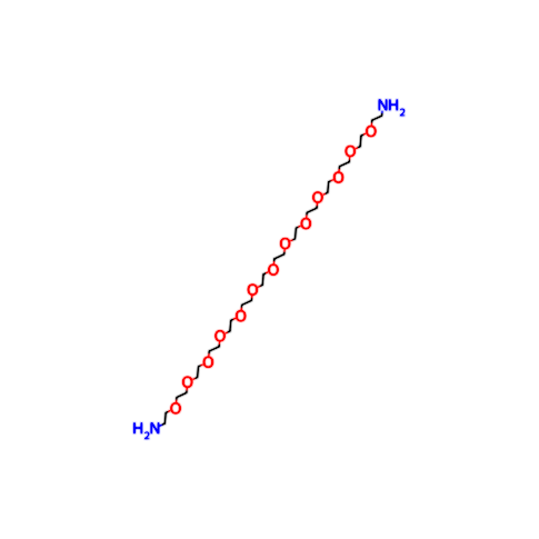 NCCOCCOCCOCCOCCOCCOCCOCCOCCOCCOCCOCCOCCOCCN